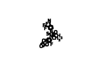 CC1(C)C(=O)N(c2ccc(C#N)c(C(F)(F)F)c2)C(=S)N1c1ccc(O[C@@H]2COC[C@@H]2O)c(F)c1